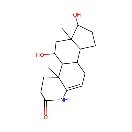 CC12CCC(=O)NC1=CCC1C2C(O)CC2(C)C(O)CCC12